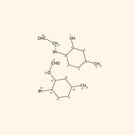 CC1CCC(C(C)C)C(O)C1.CC1CCC(C(C)C)C(OC=O)C1.CC=O